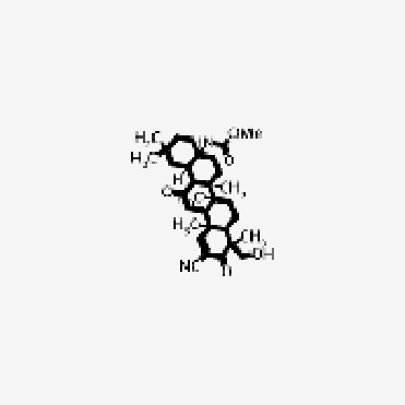 COC(=O)N[C@]12CCC(C)(C)C[C@@H]1C1C(=O)C=C3[C@@]4(C)C=C(C#N)C(=O)[C@@](C)(CO)C4CC[C@@]3(C)[C@]1(C)CC2